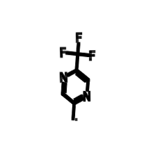 [CH2]c1cnc(C(F)(F)F)cn1